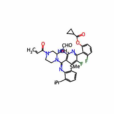 C=CC(=O)N1CCN(/C(=N/c2c(SC)cccc2C(C)C)c2cc(F)c(-c3c(F)cccc3OC(=O)C3CC3)nc2NC=O)C(C)C1